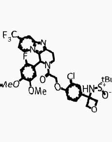 COc1cc(F)c(C2c3c(nc4cc(C(F)(F)F)ccn34)CCN2C(=O)COc2ccc(C3(N[S+]([O-])C(C)(C)C)COC3)cc2Cl)cc1OC